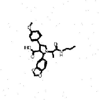 CCCNC(=O)C(C)N1CC(c2ccc(OC)cc2)C(C(=O)O)C1c1ccc2c(c1)OCO2